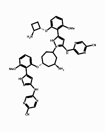 COc1cccc(O[C@@H]2CCC([n+]3[nH]c(-c4c(OC)cccc4O[C@H]4CC[C@@H]4N)cc3Nc3cnc(C#N)cn3)C[C@@H](N)C2)c1-c1cc(Nc2cnc(C#N)cn2)n[nH]1